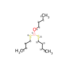 CCCCOB(SCCCC)SCCCC